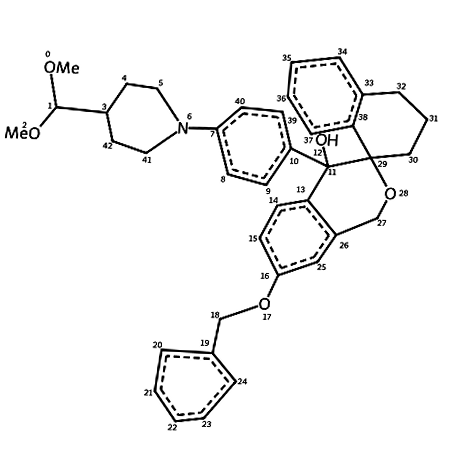 COC(OC)C1CCN(c2ccc(C3(O)c4ccc(OCc5ccccc5)cc4COC34CCCc3ccccc34)cc2)CC1